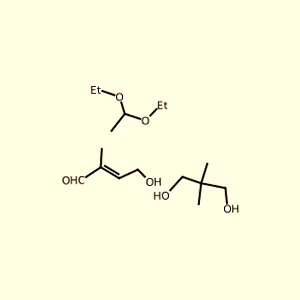 C/C(C=O)=C\CO.CC(C)(CO)CO.CCOC(C)OCC